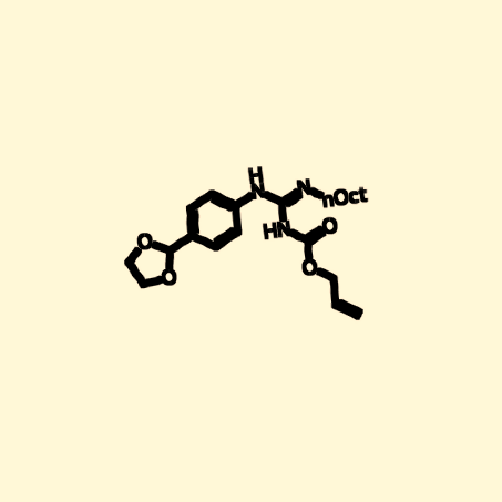 C=CCOC(=O)N/C(=N\CCCCCCCC)Nc1ccc(C2OCCO2)cc1